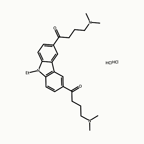 CCn1c2ccc(C(=O)CCCN(C)C)cc2c2cc(C(=O)CCCN(C)C)ccc21.Cl.Cl